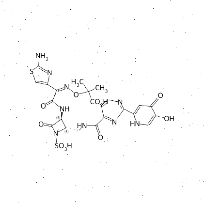 CC(C)(ON=C(C(=O)N[C@@H]1C(=O)N(S(=O)(=O)O)[C@H]1CNC(=O)c1ccnc(-c2cc(=O)c(O)c[nH]2)n1)c1csc(N)n1)C(=O)O